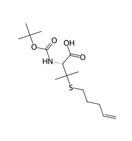 C=CCCCSC(C)(C)[C@H](NC(=O)OC(C)(C)C)C(=O)O